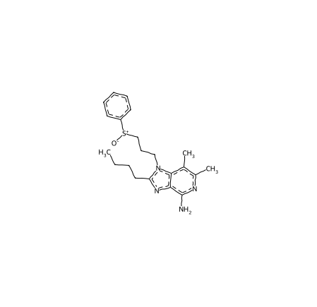 CCCCc1nc2c(N)nc(C)c(C)c2n1CCC[S+]([O-])c1ccccc1